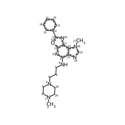 CN1CCN(CCCNc2nc3oc(-c4ccccc4)nc3c3c2ncn3C)CC1